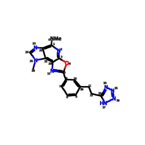 CNc1nc2oc(-c3cccc(CCc4nnn[nH]4)c3)nc2c2c1ncn2C